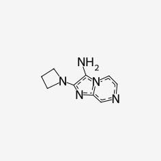 Nc1c(N2CCC2)nc2cnccn12